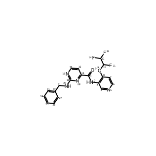 O=C(Nc1cnccc1OC(F)C(F)F)c1ccnc(NCc2ccccc2)n1